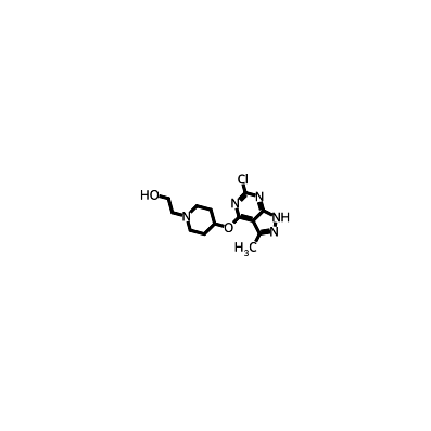 Cc1n[nH]c2nc(Cl)nc(OC3CCN(CCO)CC3)c12